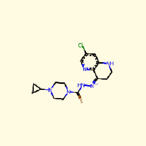 S=C(N/N=C1/CCNc2cc(Cl)cnc21)N1CCN(C2CC2)CC1